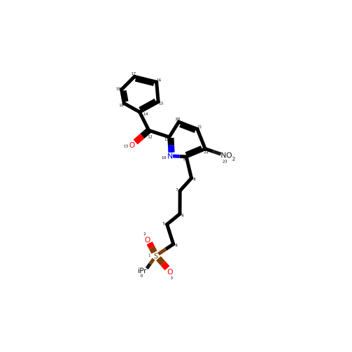 CC(C)S(=O)(=O)CCCCCc1nc(C(=O)c2ccccc2)ccc1[N+](=O)[O-]